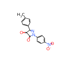 Cc1ccc(C2=NN(c3ccc([N+](=O)[O-])cc3)C(=O)C2=O)cc1